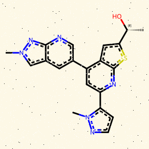 C[C@@H](O)c1cc2c(-c3cnc4nn(C)cc4c3)cc(-c3ccnn3C)nc2s1